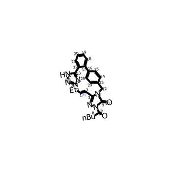 CC/C=C/c1nn(C(=O)CCCC)c(=O)n1Cc1ccc(-c2ccccc2-c2nnn[nH]2)cc1